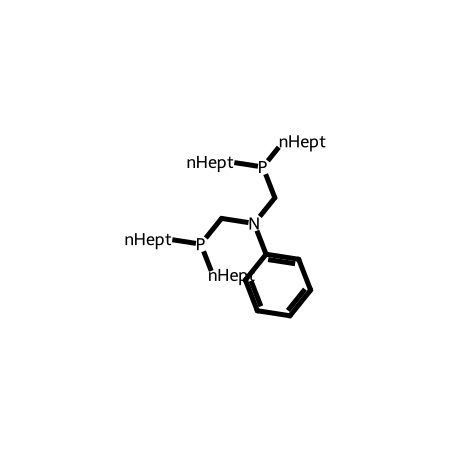 CCCCCCCP(CCCCCCC)CN(CP(CCCCCCC)CCCCCCC)c1ccccc1